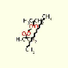 C=C(C)C(=O)OCCOC(=O)C(=C)C.CCCCCCCCCCCCCCCC